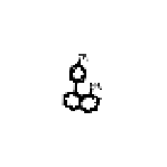 Nc1cccc2cccc(-c3ccc(C(F)(F)F)cc3)c12